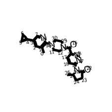 Cc1cc(C2CC2)cnc1N1CCN(C(=O)c2ccc(N3C(=O)CCC3C)nn2)CC1